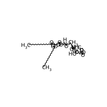 CCCCCCCCCCCCCCCCCC(=O)OCC(COS(=O)OCCNC(=O)CCC(C)CCNC(=O)COc1ccc(Cn2c(=O)oc3ccc(C)cc32)cc1O)OC(=O)CCCCCCCCCCCCCCCCC